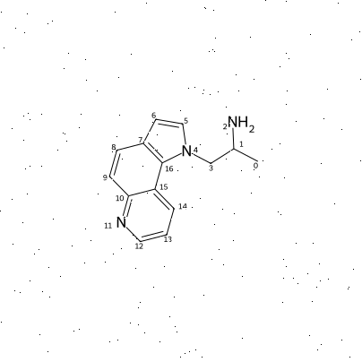 CC(N)Cn1ccc2ccc3ncccc3c21